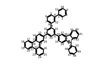 c1ccc(-c2cccc(-c3cc(-c4ccc5c6ccccc6c6ccccc6c5c4)cc(-c4ccc5c(c4)c4ccccc4n5-c4ccccc4)c3)c2)cc1